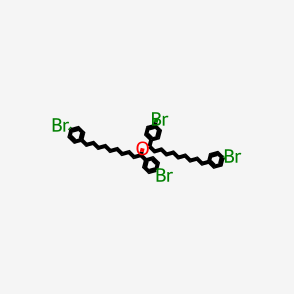 Brc1ccc(CCCCCCCCCC(OC(CCCCCCCCCc2ccc(Br)cc2)c2ccc(Br)cc2)c2ccc(Br)cc2)cc1